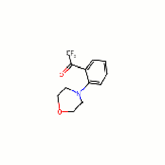 O=C(c1ccccc1N1CCOCC1)C(F)(F)F